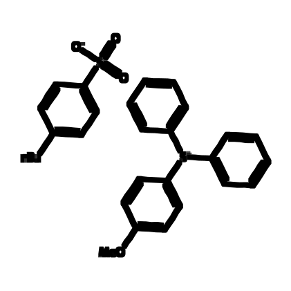 CCCCc1ccc(S(=O)(=O)[O-])cc1.COc1ccc([S+](c2ccccc2)c2ccccc2)cc1